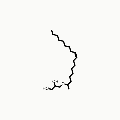 CCCCCCCC/C=C\CCCCCCC(C)OCC(O)CO